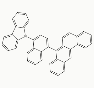 c1ccc2c(-c3ccc(-n4c5ccccc5c5ccccc54)c4ccccc34)c3ccc4ccccc4c3cc2c1